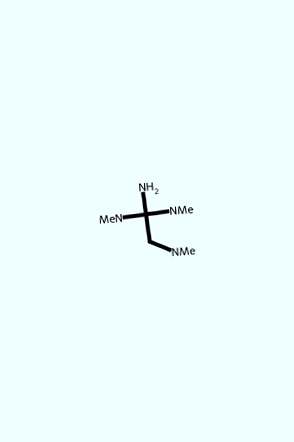 CNCC(N)(NC)NC